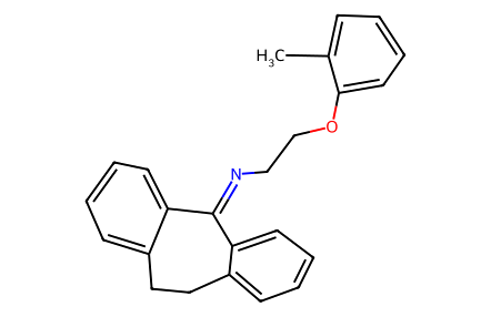 Cc1ccccc1OCCN=C1c2ccccc2CCc2ccccc21